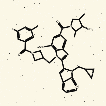 COc1cc(C(=O)N2CC(C)C(N)C2C)cc2nc(-c3cc4cccnc4n3CC3CC3)n(CC3CN(C(=O)c4cc(F)cc(F)c4)C3)c12